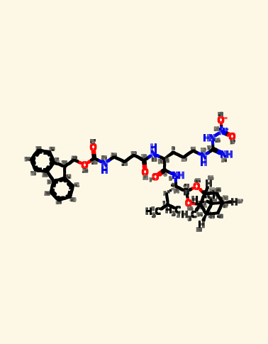 CC(C)C[C@H](NC(=O)[C@H](CCCNC(=N)N[N+](=O)[O-])NC(=O)CCCNC(=O)OCC1c2ccccc2-c2ccccc21)B1O[C@@H]2C[C@@H]3C[C@@H](C3(C)C)[C@]2(C)O1